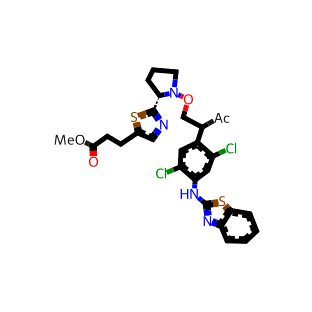 COC(=O)CCc1cnc([C@@H]2CCCN2OCC(C(C)=O)c2cc(Cl)c(Nc3nc4ccccc4s3)cc2Cl)s1